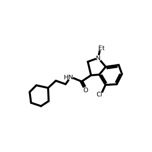 CCN1CC(C(=O)NCCC2CCCCC2)c2c(Cl)cccc21